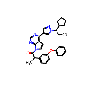 CC(C(=O)n1ccc2c(-c3cnn([C@H](CC#N)C4CCCC4)c3)ncnc21)c1cccc(Oc2ccccc2)c1